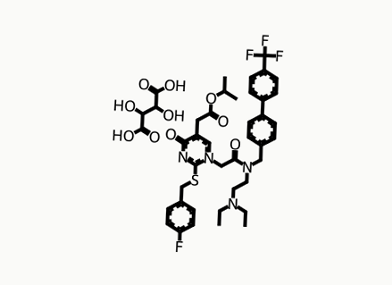 CCN(CC)CCN(Cc1ccc(-c2ccc(C(F)(F)F)cc2)cc1)C(=O)Cn1cc(CC(=O)OC(C)C)c(=O)nc1SCc1ccc(F)cc1.O=C(O)C(O)C(O)C(=O)O